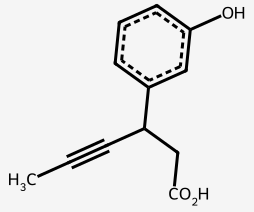 CC#CC(CC(=O)O)c1cccc(O)c1